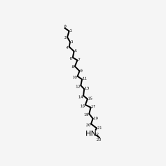 CCCCCCCCCCCCCCCCCCCCCCNC